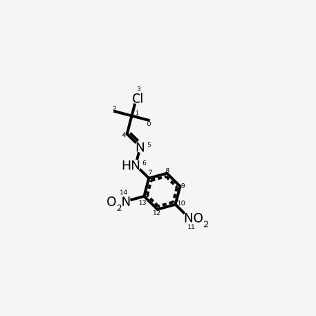 CC(C)(Cl)C=NNc1ccc([N+](=O)[O-])cc1[N+](=O)[O-]